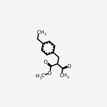 CCc1ccc(CC(C(C)=O)C(=O)OC)cc1